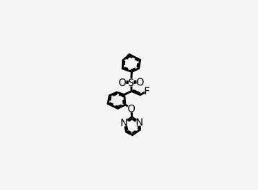 O=S(=O)(C(=CF)c1ccccc1Oc1ncccn1)c1ccccc1